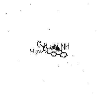 CCCCc1nc(Cl)c(CN)n1Cc1ccc(-c2ccccc2C(=N)N=N)cc1